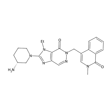 CCn1c(N2CCC[C@@H](N)C2)nc2cnn(Cc3cn(C)c(=O)c4ccccc34)c(=O)c21